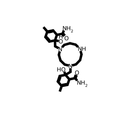 CC1=CC(C(N)=O)C(O)(CN2CCCNCCCN(CC3(O)C=CC(C)=CC3C(N)=O)CCC2)C=C1